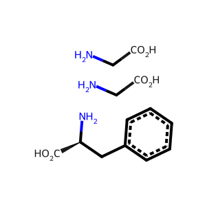 NCC(=O)O.NCC(=O)O.N[C@@H](Cc1ccccc1)C(=O)O